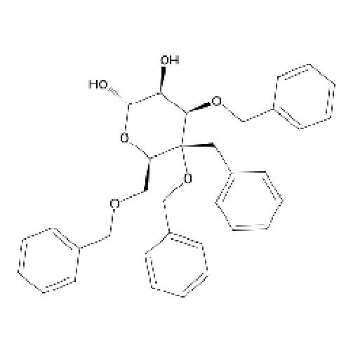 O[C@H]1[C@@H](OCc2ccccc2)[C@](Cc2ccccc2)(OCc2ccccc2)[C@@H](COCc2ccccc2)O[C@@H]1O